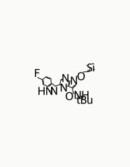 CC(C)(C)NC(=O)c1cn(COCC[Si](C)(C)C)c2ncc(-c3n[nH]c4cc(CF)ccc34)nc12